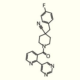 N#CC1(Cc2ccc(F)cc2)CCN(C(=O)c2cccnc2-c2cncnc2)CC1